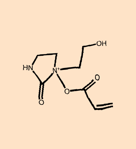 C=CC(=O)O[N+]1(CCO)CCNC1=O